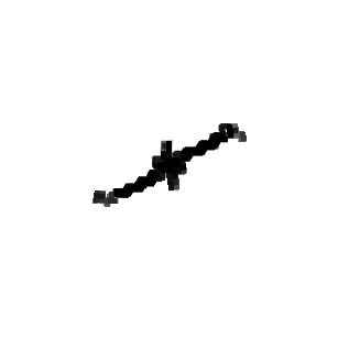 CCCCCCCCOC(=O)C(O)C(O)C(=O)OCCCCCCCC